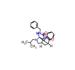 CC(C)CN1C[C@@H]2C[C@H]3C(=O)N[C@]2(C(=O)NCc2ccccc2)[C@@H]1[C@@H]3c1ccccc1